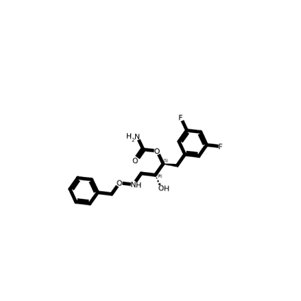 NC(=O)O[C@@H](Cc1cc(F)cc(F)c1)[C@H](O)CNOCc1ccccc1